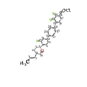 C/C=C/C1CCC(c2ccc(-c3ccc(-c4ccc(CCCCCCCC)c(F)c4F)cc3)cc2F)OC1